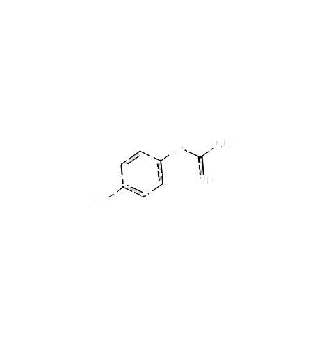 Cc1ccc(OC(=N)N)cc1